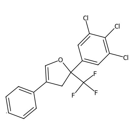 FC(F)(F)C1(c2cc(Cl)c(Cl)c(Cl)c2)CC(c2cc[c]cc2)=CO1